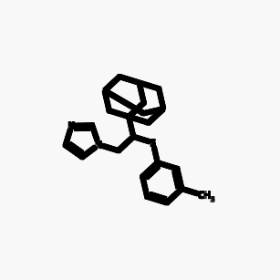 Cc1cccc(SC(Cn2ccnc2)C23CC4CC(CC(C4)C2)C3)c1